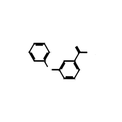 O=C(c1cccc(Oc2ccccc2)c1)C(F)(F)F